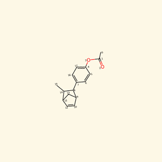 CC(=O)Oc1ccc(C2C3C=CC(C3)C2C)cc1